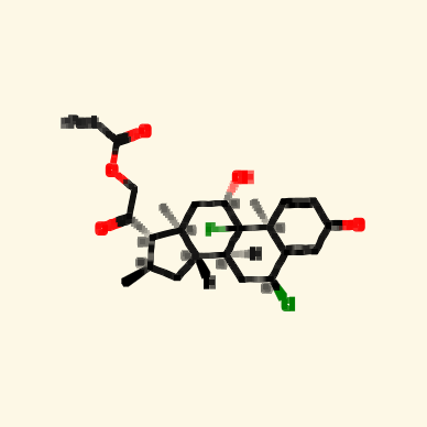 CCCCCC(=O)OCC(=O)[C@H]1[C@H](C)C[C@H]2[C@@H]3C[C@H](Cl)C4=CC(=O)C=C[C@]4(C)C3(F)[C@@H](O)C[C@@]21C